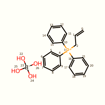 C=CC[P+](c1ccccc1)(c1ccccc1)c1ccccc1.O[B-](O)(O)O